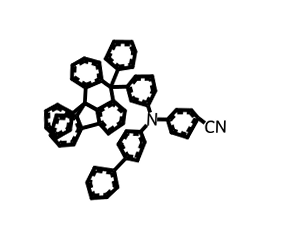 N#Cc1ccc(N(c2ccc(-c3ccccc3)cc2)c2cccc(C3(c4ccccc4)c4ccccc4C4(c5ccccc5)c5ccccc5-c5cccc3c54)c2)cc1